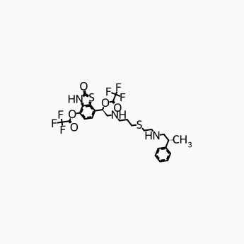 C[C@@H](CNCCSCCCNC[C@H](OC(=O)C(F)(F)F)c1ccc(OC(=O)C(F)(F)F)c2[nH]c(=O)sc12)c1ccccc1